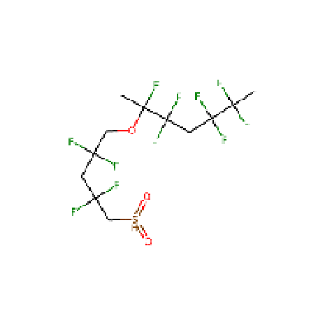 CC(F)(F)C(F)(F)CC(F)(F)C(C)(F)OCC(F)(F)CC(F)(F)C[SH](=O)=O